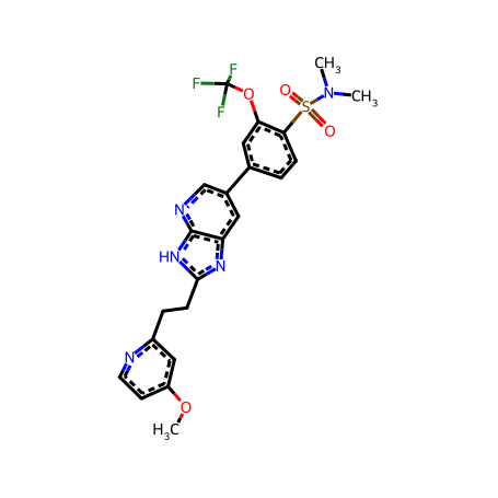 COc1ccnc(CCc2nc3cc(-c4ccc(S(=O)(=O)N(C)C)c(OC(F)(F)F)c4)cnc3[nH]2)c1